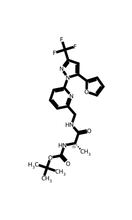 C[C@H](NC(=O)OC(C)(C)C)C(=O)NCc1cccc(-n2nc(C(F)(F)F)cc2-c2ccco2)n1